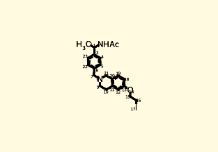 CC(=O)NC(C)c1ccc(CN2CCc3cc(OCCI)ccc3C2)cc1